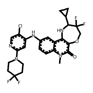 Cn1c(=O)c2c(c3cc(Nc4cc(N5CCC(F)(F)CC5)ncc4Cl)ccc31)NC(C1CC1)C(F)(F)CO2